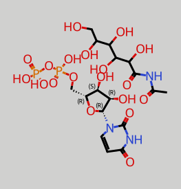 CC(=O)NC(=O)C(O)C(O)C(O)C(O)CO.O=c1ccn([C@@H]2O[C@H](COP(=O)(O)OP(=O)(O)O)[C@@H](O)[C@H]2O)c(=O)[nH]1